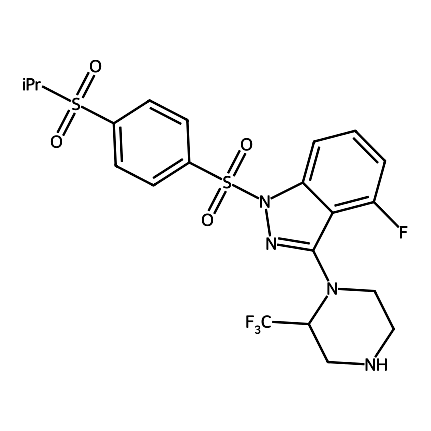 CC(C)S(=O)(=O)c1ccc(S(=O)(=O)n2nc(N3CCNCC3C(F)(F)F)c3c(F)cccc32)cc1